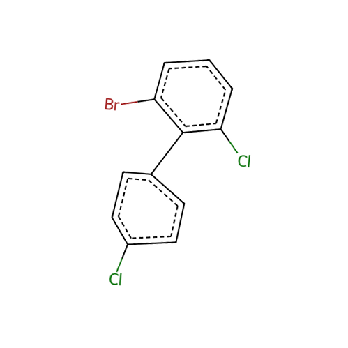 Clc1ccc(-c2c(Cl)cccc2Br)cc1